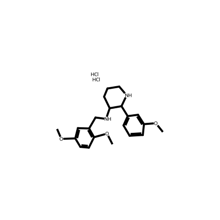 COc1cccc(C2NCCCC2NCc2cc(OC)ccc2OC)c1.Cl.Cl